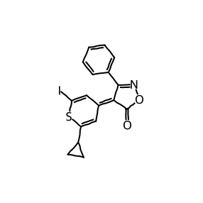 O=C1ON=C(c2ccccc2)/C1=C1\C=C(I)SC(C2CC2)=C1